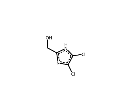 OCc1nc(Cl)c(Cl)[nH]1